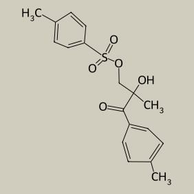 Cc1ccc(C(=O)C(C)(O)COS(=O)(=O)c2ccc(C)cc2)cc1